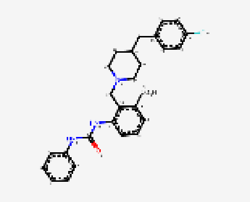 O=C(Nc1ccccc1)Nc1cccc(C(=O)O)c1CN1CCC(Cc2ccc(F)cc2)CC1